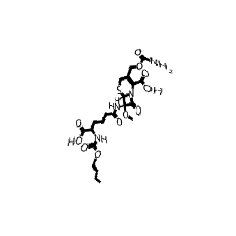 CCCCOC(=O)NC(CCCC(=O)N[C@]1(OC)C(=O)N2C(C(=O)O)=C(COC(N)=O)CS[C@H]21)C(=O)O